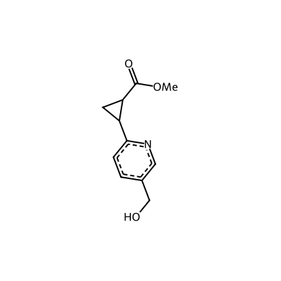 COC(=O)C1CC1c1ccc(CO)cn1